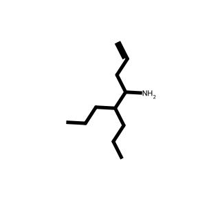 C=CCC(N)C(CCC)CCC